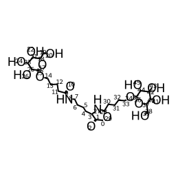 CC(=O)C(CCCCNC(=O)CCCCOC1OC(CO)C(O)C(O)C1O)NC(=O)CCCCOC1OC(CO)C(O)C(O)C1O